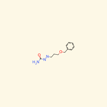 NC(=O)N=NCCCOCc1ccccc1